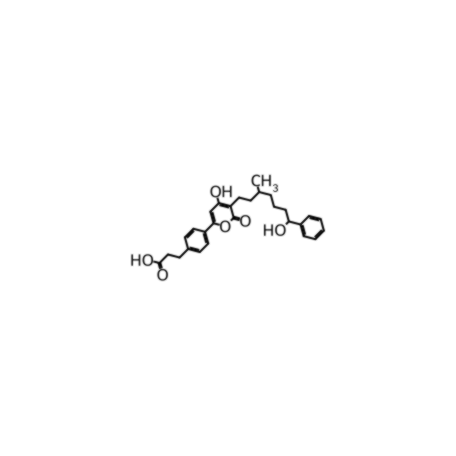 CC(CCCC(O)c1ccccc1)CCc1c(O)cc(-c2ccc(CCC(=O)O)cc2)oc1=O